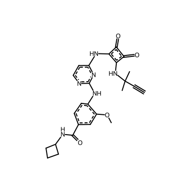 C#CC(C)(C)Nc1c(Nc2ccnc(Nc3ccc(C(=O)NC4CCC4)cc3OC)n2)c(=O)c1=O